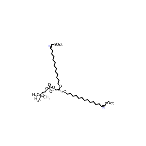 CCCCCCCC/C=C\CCCCCCCCCCCCOC[C@H](COP(=O)([O-])OCC[N+](C)(C)C)OCCCCCCCCCCCC/C=C\CCCCCCCC